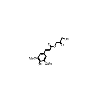 COc1cc(/C=C/C(=O)OCC(=O)CO)cc(OC)c1O